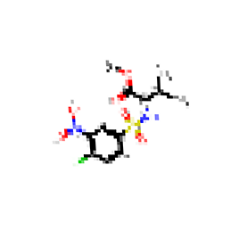 COC(=O)[C@@H](NS(=O)(=O)c1ccc(Cl)c([N+](=O)[O-])c1)C(C)C